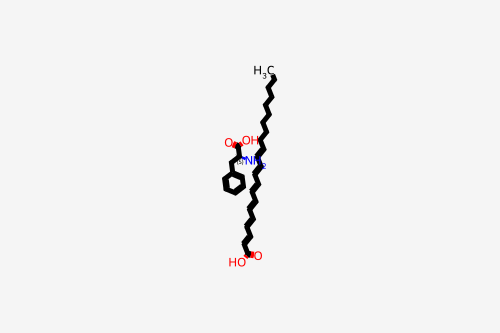 CCCCCCCCCC=CC=CC=CC=CC=CC=CC(=O)O.N[C@@H](Cc1ccccc1)C(=O)O